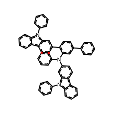 c1ccc(-c2ccc(-c3ccc4c5ccccc5n(-c5ccccc5)c4c3)c(N(c3ccccc3)c3ccc4c5ccccc5n(-c5ccccc5)c4c3)c2)cc1